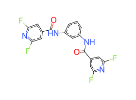 O=C(Nc1cccc(NC(=O)c2cc(F)nc(F)c2)c1)c1cc(F)nc(F)c1